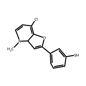 CN1C=CC(Cl)=C2OC(c3cccc(S)c3)=CC21